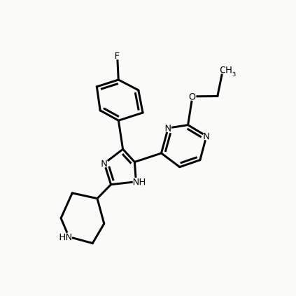 CCOc1nccc(-c2[nH]c(C3CCNCC3)nc2-c2ccc(F)cc2)n1